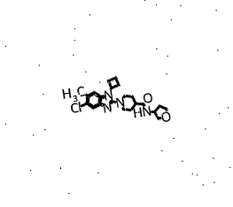 Cc1cc2c(cc1Cl)nc(N1CCC(C(=O)NC3CCOC3)CC1)n2C1CCC1